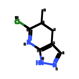 CC1Cc2cn[nH]c2N=C1Cl